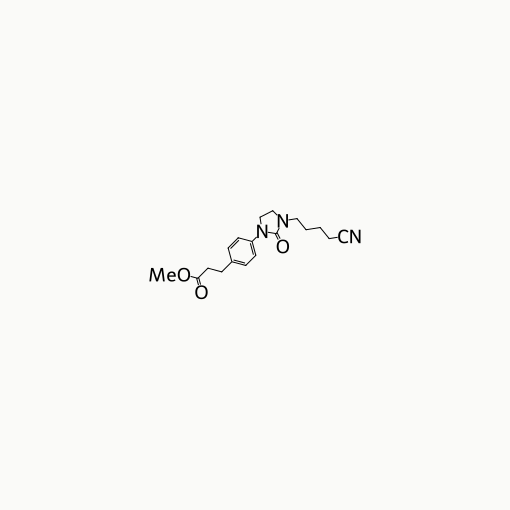 COC(=O)CCc1ccc(N2CCN(CCCCC#N)C2=O)cc1